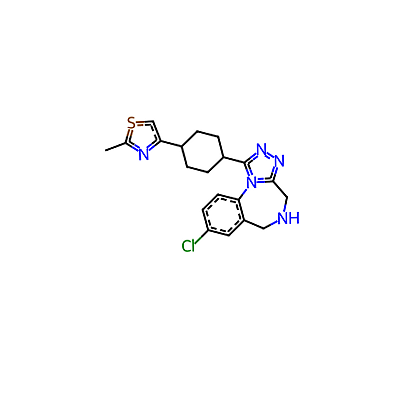 Cc1nc(C2CCC(c3nnc4n3-c3ccc(Cl)cc3CNC4)CC2)cs1